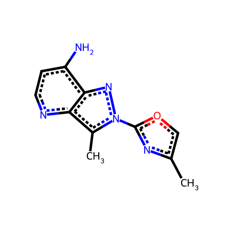 Cc1coc(-n2nc3c(N)ccnc3c2C)n1